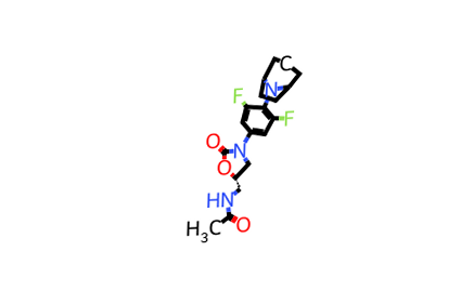 CC(=O)NC[C@H]1CN(c2cc(F)c(N3C4CCCC3CC4)c(F)c2)C(=O)O1